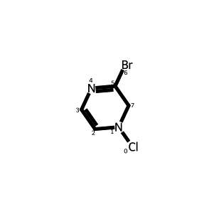 ClN1C=CN=C(Br)C1